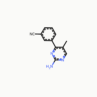 Cc1cnc(N)nc1-c1cccc(C#N)c1